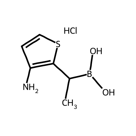 CC(B(O)O)c1sccc1N.Cl